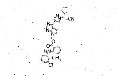 Cc1c(Cl)cccc1Nc1ccccc1C(=O)OCn1ccc2c(-c3cnn(C(CC#N)C4CCCC4)c3)ncnc21